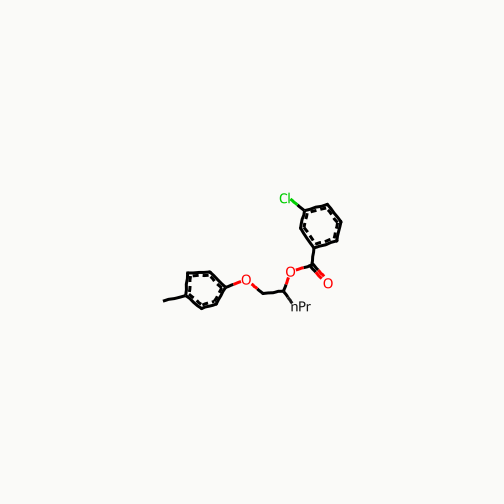 CCCC(COc1ccc(C)cc1)OC(=O)c1cccc(Cl)c1